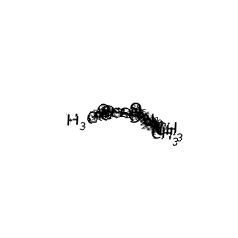 Cc1ccc(S(=O)(=O)OCCOCCOCCOc2cc(-c3ccc4cc(N(C)C)ccc4n3)ccc2N=O)cc1